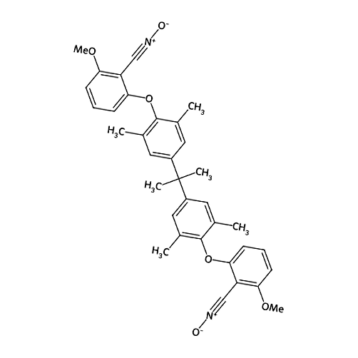 COc1cccc(Oc2c(C)cc(C(C)(C)c3cc(C)c(Oc4cccc(OC)c4C#[N+][O-])c(C)c3)cc2C)c1C#[N+][O-]